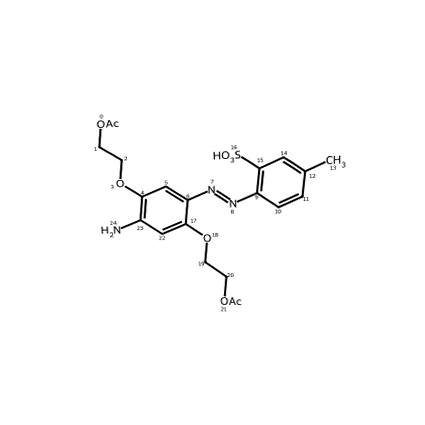 CC(=O)OCCOc1cc(N=Nc2ccc(C)cc2S(=O)(=O)O)c(OCCOC(C)=O)cc1N